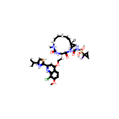 COc1ccc2c(OCC[C@@H]3NC(=O)N(C)CCCC/C=C\[C@@H]4C[C@@]4(C(=O)NS(=O)(=O)C4(I)CC4)NC3=O)cc(-c3nc(C(C)C)cs3)nc2c1Cl